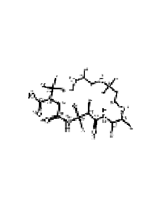 COC(C)COC(C)(C)CCOC(C)C(C)NC(=O)C(C)C(C)(C)NC(=O)CC(C(=O)O)C(C)(C)C